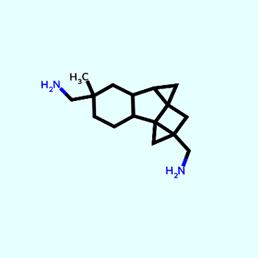 CC1(CN)CCC2C(C1)C1CC13CC1(CN)CC213